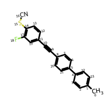 Cc1ccc(-c2ccc(C#Cc3ccc(SC#N)c(F)c3)cc2)cc1